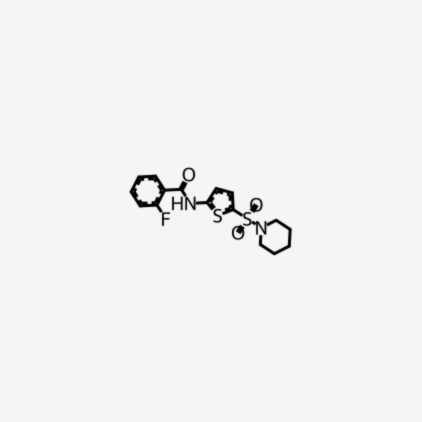 O=C(Nc1ccc(S(=O)(=O)N2CCCCC2)s1)c1ccccc1F